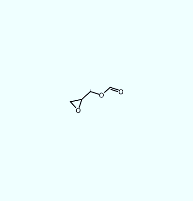 O=CO[CH]C1CO1